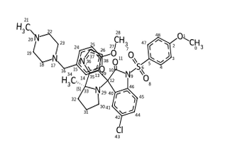 COc1ccc(S(=O)(=O)N2C(=O)C(c3cc(CN4CCN(C)CC4)ccc3OC)(N3CCC[C@@]3(C)c3ncco3)c3cc(Cl)ccc32)cc1